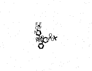 CC(C)(C)OC(=O)N1CCC(NS(=O)(=O)c2ccc(OC(F)(F)F)nc2)(c2ccccc2)CC1